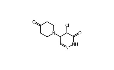 O=C1CCN(C2C=NNC(=O)C2Cl)CC1